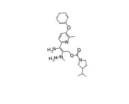 Cc1nc(/C(N)=C(\COC(=O)N2CCC(C(C)C)C2)N(C)N)ccc1OC1CCCCC1